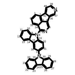 c1cc2c3c(cnc(-n4c5ccccc5c5cc(-n6c7ccccc7c7ccccc76)ccc54)c3c1)-c1cnccc1-2